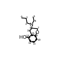 CCCN(CC)C1COc2cccc(O)c2C1